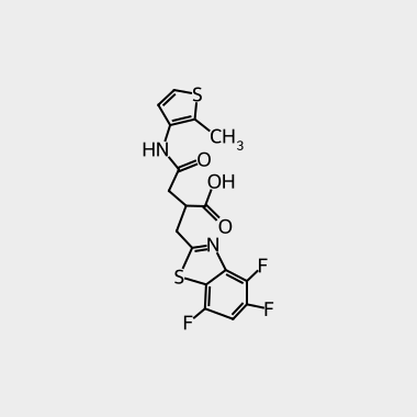 Cc1sccc1NC(=O)CC(Cc1nc2c(F)c(F)cc(F)c2s1)C(=O)O